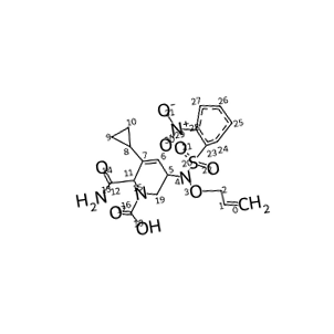 C=CCON(C1C=C(C2CC2)C(C(N)=O)N(C(=O)O)C1)S(=O)(=O)c1ccccc1[N+](=O)[O-]